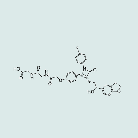 O=C(O)CNC(=O)CNC(=O)COc1ccc([C@@H]2[C@@H](SCC(O)c3ccc4c(c3)CCO4)C(=O)N2c2ccc(F)cc2)cc1